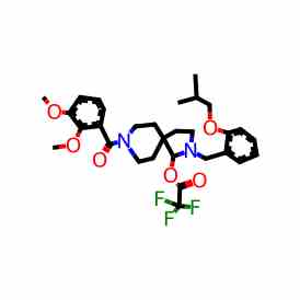 COc1cccc(C(=O)N2CCC3(CC2)CCN(Cc2ccccc2OCC(C)C)C3OC(=O)C(F)(F)F)c1OC